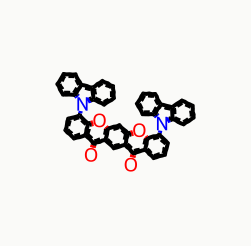 O=c1c2cc3c(=O)c4cccc(-n5c6ccccc6c6ccccc65)c4oc3cc2oc2c(-n3c4ccccc4c4ccccc43)cccc12